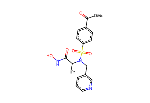 COC(=O)c1ccc(S(=O)(=O)N(Cc2cccnc2)C(C(=O)NO)C(C)C)cc1